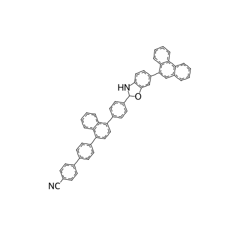 N#Cc1ccc(-c2ccc(-c3ccc(-c4ccc(C5Nc6ccc(-c7cc8ccccc8c8ccccc78)cc6O5)cc4)c4ccccc34)cc2)cc1